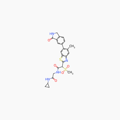 Cc1cc2nc(C(C(=O)NCC(=O)NC3CC3)S(C)(=O)=O)sc2cc1-c1ccc2c(c1)C(=O)NC2